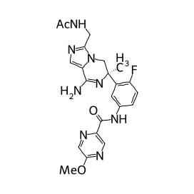 COc1cnc(C(=O)Nc2ccc(F)c([C@]3(C)Cn4c(cnc4CNC(C)=O)C(N)=N3)c2)cn1